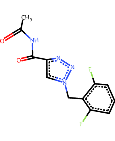 CC(=O)NC(=O)c1cn(Cc2c(F)cccc2F)nn1